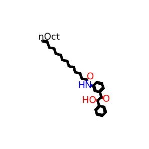 CCCCCCCCC=CCCCCCCCCCCCC(=O)Nc1cccc(C(=O)C(O)c2ccccc2)c1